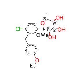 CCOc1ccc(Cc2cc(C3(OC)O[C@H](C)[C@@H](O)[C@H](O)[C@H]3O)ccc2Cl)cc1